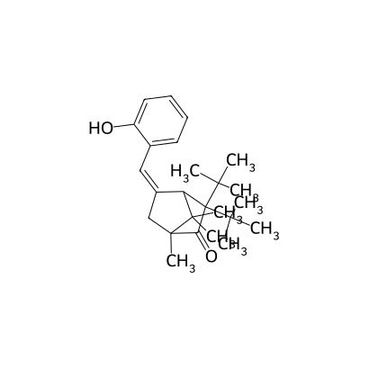 CC(C)(C)C1(C(C)(C)C)C(=O)C2(C)C/C(=C/c3ccccc3O)C1C2(C)C